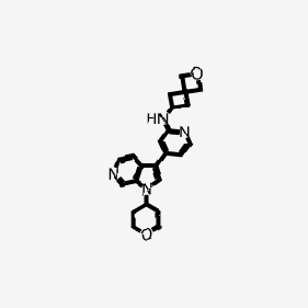 c1cc2c(-c3ccnc(NC4CC5(COC5)C4)c3)cn(C3CCOCC3)c2cn1